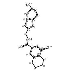 Cc1ccc2nc(CNC(=O)c3cc(=O)n4c(n3)CCCC4)cn2c1